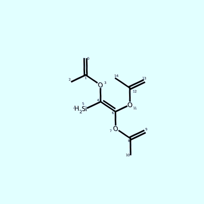 C=C(C)OC([SiH2])=C(OC(=C)C)OC(=C)C